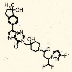 CC1(O)CCc2cc(-c3cnc4c(=O)n(CC5(O)CCN(C(=O)CC(C(F)F)n6ccc(F)n6)CC5)cnn34)ccc21